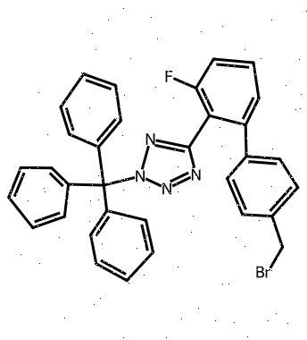 Fc1cccc(-c2ccc(CBr)cc2)c1-c1nnn(C(c2ccccc2)(c2ccccc2)c2ccccc2)n1